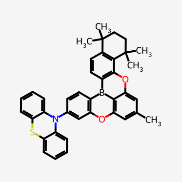 Cc1cc2c3c(c1)Oc1c(ccc4c1C(C)(C)CCC4(C)C)B3c1ccc(N3c4ccccc4Sc4ccccc43)cc1O2